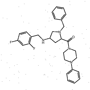 O=C(C1CC(NCc2ccc(F)cc2F)CN1Cc1ccccc1)N1CCN(c2ccccc2)CC1